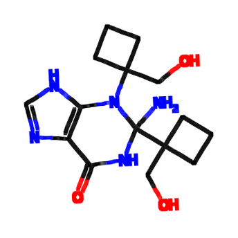 NC1(C2(CO)CCC2)NC(=O)c2nc[nH]c2N1C1(CO)CCC1